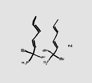 CC=CC=CC(P)(C(C)(C)C)C(C)(C)C.CC=CC=CC(P)(C(C)(C)C)C(C)(C)C.[Pd]